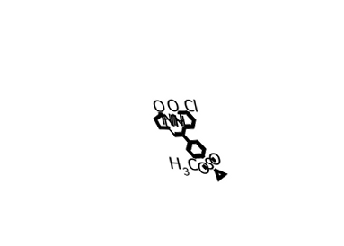 Cc1cc(/C(=C/[C@H]2CCC(=O)N2)c2ccc(Cl)c(=O)[nH]2)ccc1S(=O)(=O)C1CC1